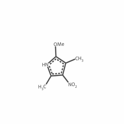 COc1[nH]c(C)c([N+](=O)[O-])c1C